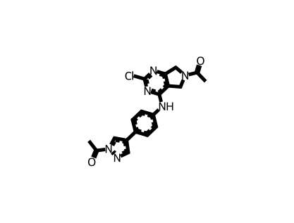 CC(=O)N1Cc2nc(Cl)nc(Nc3ccc(-c4cnn(C(C)=O)c4)cc3)c2C1